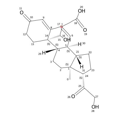 C[C@]12CC[C@H]3[C@@H](C=CC4=CC(=O)CC[C@@]43C(O)CC(=O)O)[C@@H]1CC[C@@H]2C(=O)CO